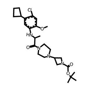 COc1cc(Cl)c(C2CCC2)cc1NC(C)C(=O)N1CCN(C2CN(C(=O)OC(C)(C)C)C2)CC1